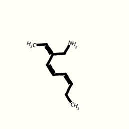 C\C=C(/C=C\C=C/CC)CN